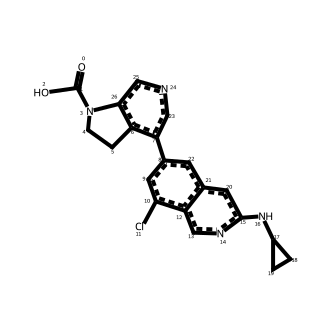 O=C(O)N1CCc2c(-c3cc(Cl)c4cnc(NC5CC5)cc4c3)cncc21